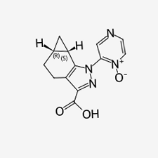 O=C(O)c1nn(-c2cncc[n+]2[O-])c2c1CC[C@@H]1C[C@H]21